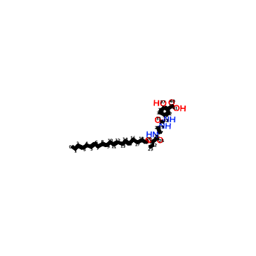 CCC=CCC=CCC=CCC=CCC=CCCCCO[C@@H](CC)C(=O)NCCNC(=O)Nc1ccc(O)c(C(=O)O)c1